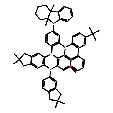 Cc1cc2c3c(c1)N(c1ccc(C(C)(C)C)cc1-c1ccccc1)c1cc(N4c5ccccc5C5(C)CCCCC45C)ccc1B3c1cc3c(cc1N2c1ccc2c(c1)CC(C)(C)C2)CC(C)(C)C3